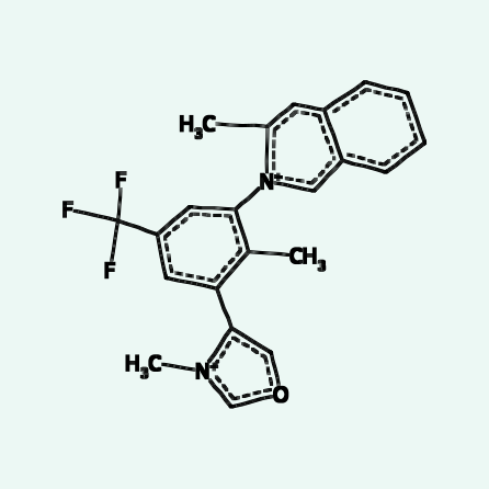 Cc1c(-c2coc[n+]2C)cc(C(F)(F)F)cc1-[n+]1cc2ccccc2cc1C